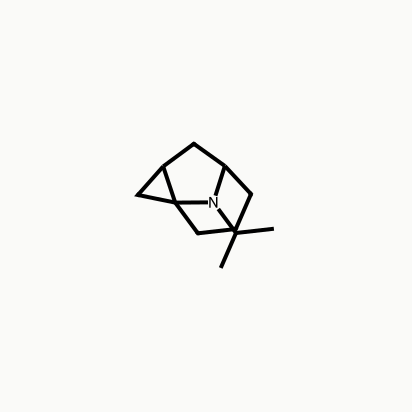 CC(C)N1C2CCCC13CC3C2